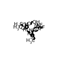 CCc1cc2c(N3CCn4c(nnc4C(F)(F)F)C3)nc(C[C@@H]3C[C@H](OCCO)[C@H]4OC(C)(C)O[C@@H]34)nc2s1